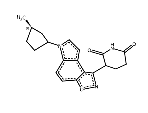 C[C@@H]1CCC(n2ccc3c4c(C5CCC(=O)NC5=O)noc4ccc32)C1